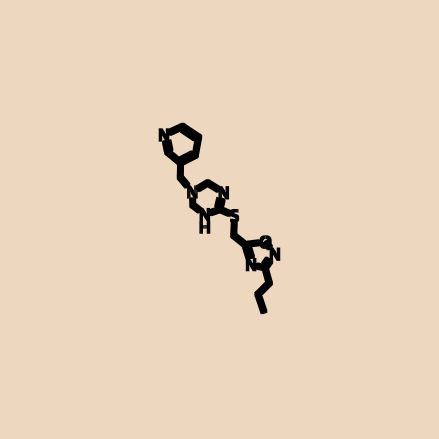 CCCc1noc(CSC2=NCN(Cc3cccnc3)CN2)n1